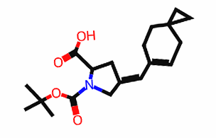 CC(C)(C)OC(=O)N1CC(=CC2=CCC3(CC2)CC3)CC1C(=O)O